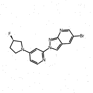 F[C@@H]1CCN(c2ccnc(-n3cc4cc(Br)cnc4n3)c2)C1